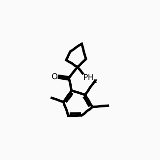 Cc1ccc(C)c(C(=O)C2(P)CCCC2)c1C